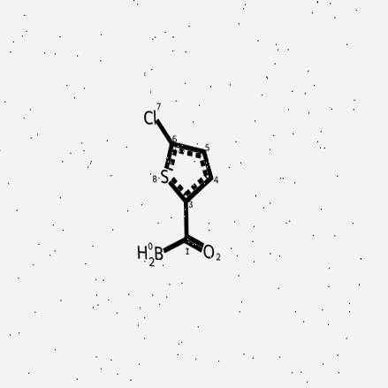 BC(=O)c1ccc(Cl)s1